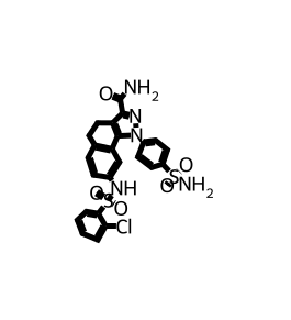 NC(=O)c1nn(-c2ccc(S(N)(=O)=O)cc2)c2c1CCc1ccc(NS(=O)(=O)c3ccccc3Cl)cc1-2